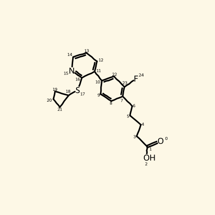 O=C(O)CCCCc1ccc(-c2cccnc2SC2CCC2)cc1F